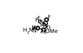 COc1nc(C)c(-c2ccn3nc(N)nc3c2)cc1C(=O)NCc1cc(F)ccc1C(=O)N1CCC(F)(F)C1